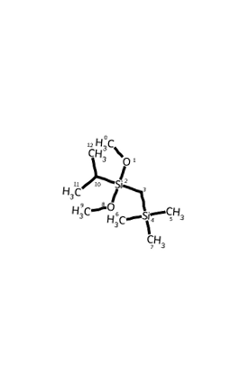 CO[Si](C[Si](C)(C)C)(OC)C(C)C